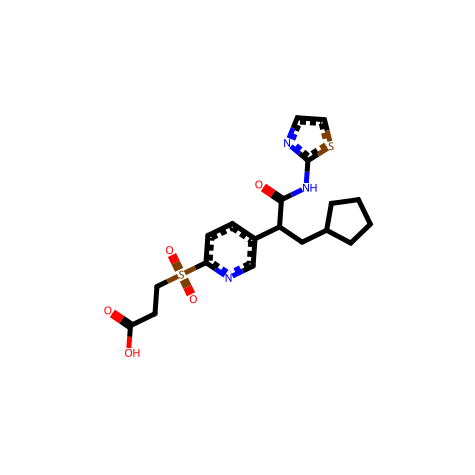 O=C(O)CCS(=O)(=O)c1ccc(C(CC2CCCC2)C(=O)Nc2nccs2)cn1